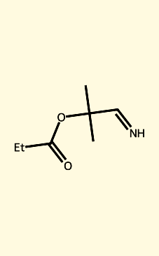 CCC(=O)OC(C)(C)C=N